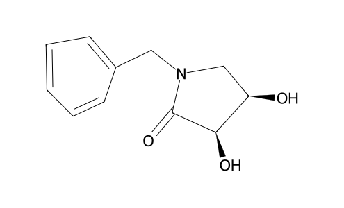 O=C1[C@H](O)[C@H](O)CN1Cc1ccccc1